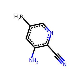 Bc1cnc(C#N)c(N)c1